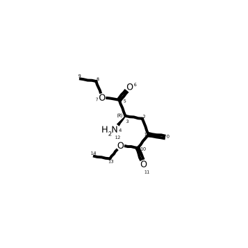 C=C(C[C@@H](N)C(=O)OCC)C(=O)OCC